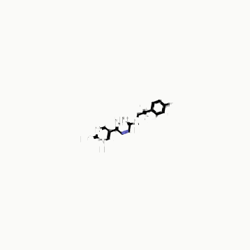 C=C1N=CC(C(=N)/C=C\C(=N)NCC(C)(C)c2ccc(F)cc2)=CN1